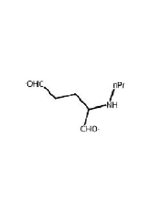 CCCNC([C]=O)CC[C]=O